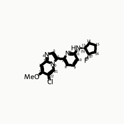 COc1cc2ncc(-c3cccc(N[C@H]4CCC[C@@H]4F)n3)n2cc1Cl